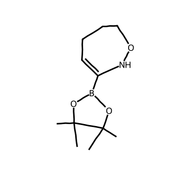 CC1(C)OB(C2=CCCCON2)OC1(C)C